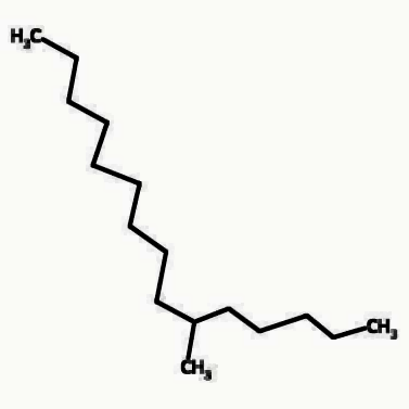 CCCCCCCCCC(C)CCCCC